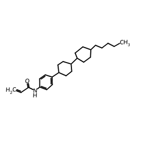 C=CC(=O)Nc1ccc(C2CCC(C3CCC(CCCCC)CC3)CC2)cc1